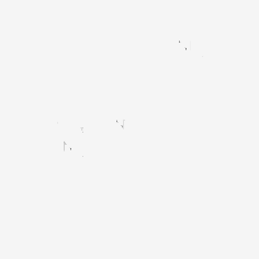 CN1CCc2ccccc2C12CCN(CCc1cccc(N)c1)CC2